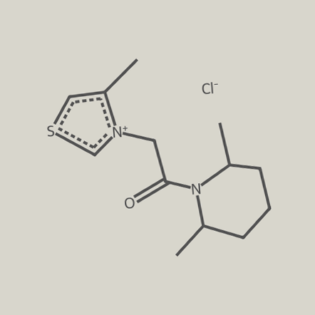 Cc1csc[n+]1CC(=O)N1C(C)CCCC1C.[Cl-]